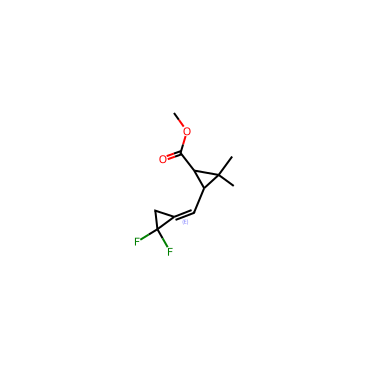 COC(=O)C1C(/C=C2\CC2(F)F)C1(C)C